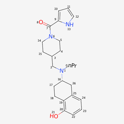 CCCN(CC1CCN(C(=O)c2ccc[nH]2)CC1)[C@H]1CCc2c(O)cccc2C1